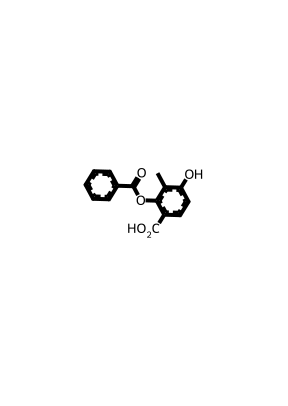 Cc1c(O)ccc(C(=O)O)c1OC(=O)c1ccccc1